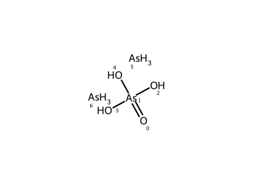 O=[As](O)(O)O.[AsH3].[AsH3]